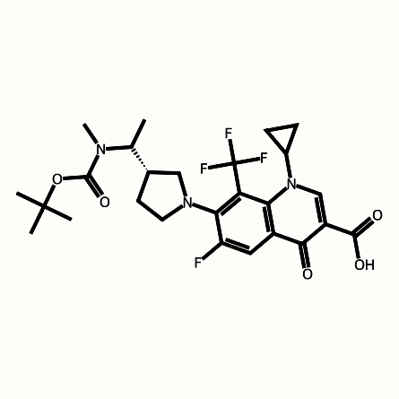 CC([C@H]1CCN(c2c(F)cc3c(=O)c(C(=O)O)cn(C4CC4)c3c2C(F)(F)F)C1)N(C)C(=O)OC(C)(C)C